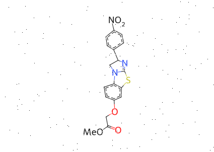 COC(=O)COc1ccc2c(c1)SC1=NC(c3ccc([N+](=O)[O-])cc3)CN12